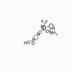 NC(=O)c1ncccc1-c1cn(C2CN(C3CCN(C(=O)CO)CC3)C2)nc1C(F)F